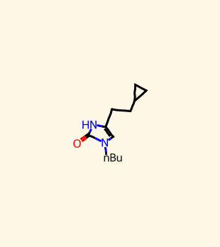 CCCCn1cc(CCC2CC2)[nH]c1=O